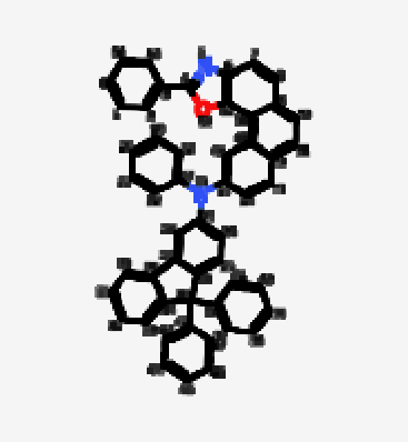 c1ccc(-c2nc3ccc4ccc5ccc(N(c6ccccc6)c6ccc7c(c6)-c6ccccc6C7(c6ccccc6)c6ccccc6)cc5c4c3o2)cc1